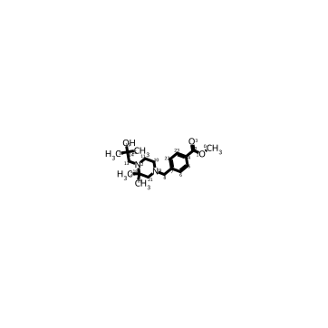 COC(=O)c1ccc(CN2CCN(CC(C)(C)O)C(C)(C)C2)cc1